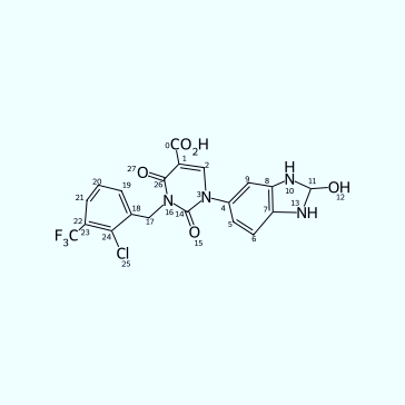 O=C(O)c1cn(-c2ccc3c(c2)NC(O)N3)c(=O)n(Cc2cccc(C(F)(F)F)c2Cl)c1=O